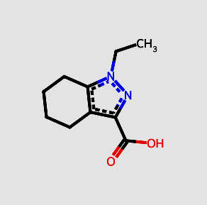 CCn1nc(C(=O)O)c2c1CCCC2